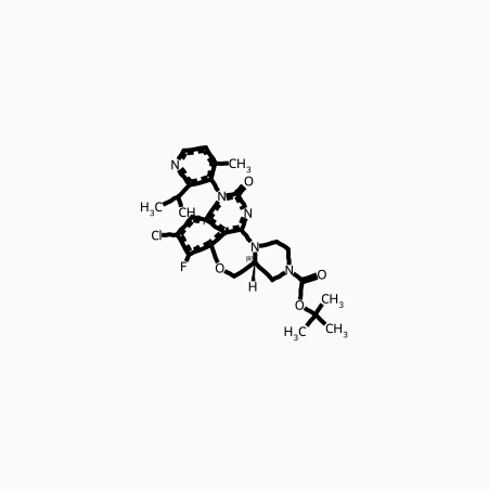 Cc1ccnc(C(C)C)c1-n1c(=O)nc2c3c(c(F)c(Cl)cc31)OC[C@H]1CN(C(=O)OC(C)(C)C)CCN21